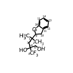 CC(C)(CC(O)(CO)C(F)(F)F)C1Cc2ccccc2O1